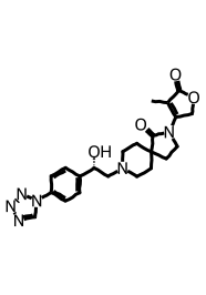 CC1=C(N2CCC3(CCN(C[C@@H](O)c4ccc(-n5cnnn5)cc4)CC3)C2=O)COC1=O